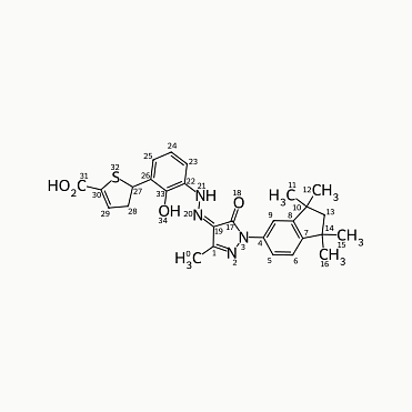 CC1=NN(c2ccc3c(c2)C(C)(C)CC3(C)C)C(=O)/C1=N\Nc1cccc(C2CC=C(C(=O)O)S2)c1O